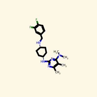 Cc1nc(N[C@H]2CC[C@@H](NCc3ccc(F)c(F)c3)CC2)nc(N(C)C)c1C